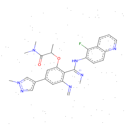 C=Nc1cc(-c2cnn(C)c2)cc(OC(C)C(=O)N(C)C)c1/C(=N\C)Nc1ccc2ncccc2c1F